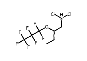 CCC(C[SiH](Cl)Cl)OC(F)(F)C(F)(F)C(F)(F)F